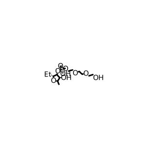 CC[C@H]1OC(C)[C@H](O)C1OP(=O)(O)OCCOCCOCCO